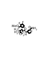 COCc1c([C@@H]2[C@@H](C(=O)Nc3ccnc(C(N)=O)c3)O[C@](C)(C(F)(F)F)[C@@H]2C)ccc(F)c1F